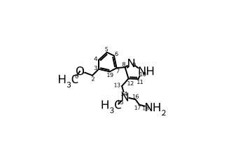 COCc1cccc(-c2n[nH]cc2CN(C)CCN)c1